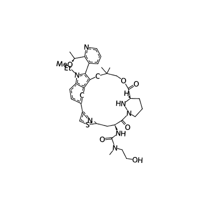 CCn1c(-c2cccnc2[C@H](C)OC)c2c3cc(ccc31)-c1csc(n1)C[C@H](NC(=O)N(C)CCO)C(=O)N1CCC[C@H](N1)C(=O)OCC(C)(C)C2